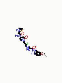 O=C(Cc1nccs1)Nc1ccn(CCC(F)Cn2cc(C(=O)NCc3cccc(OC(F)(F)F)c3)nn2)c(=O)c1